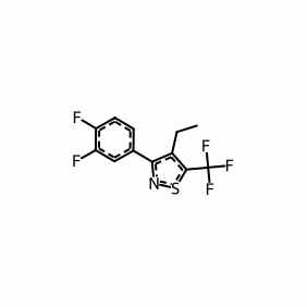 CCc1c(-c2ccc(F)c(F)c2)nsc1C(F)(F)F